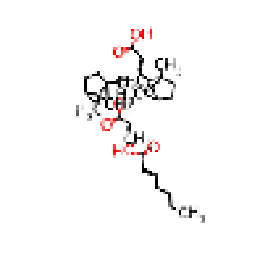 C=CC(=O)OC1CC2CCC1(C)C2(C)C.CC1(C)C2CCC1(C)C(C=CC(=O)O)C2.CCCCC=CC(=O)O